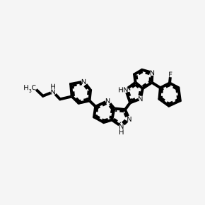 CCNCc1cncc(-c2ccc3[nH]nc(-c4nc5c(-c6ccccc6F)nccc5[nH]4)c3n2)c1